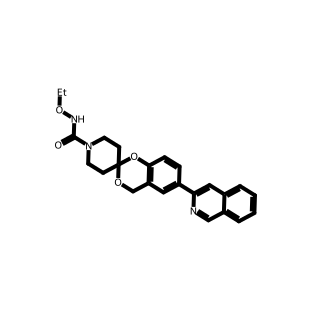 CCONC(=O)N1CCC2(CC1)OCc1cc(-c3cc4ccccc4cn3)ccc1O2